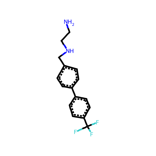 NCCNCc1ccc(-c2ccc(C(F)(F)F)cc2)cc1